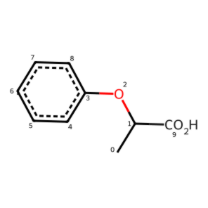 CC(Oc1cc[c]cc1)C(=O)O